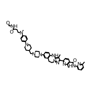 Cc1cccc(NC(=O)c2ccc(-c3nn4c(c3C)Nc3ccc(N5CCN(CC6CCN(c7ccc(N(C)CCC(=O)NC=O)cc7)CC6)CC5)cc3CC4)nc2C)n1